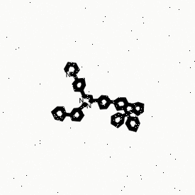 c1ccc(-c2cccc(-c3nc(-c4ccc(-c5ccc6c(c5)C(c5ccccc5)(c5ccccc5)c5ccccc5-6)cc4)cc(-c4ccc(-c5ccccn5)cc4)n3)c2)cc1